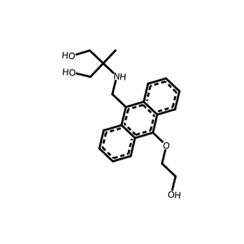 CC(CO)(CO)NCc1c2ccccc2c(OCCO)c2ccccc12